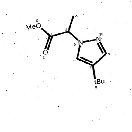 COC(=O)C(C)n1cc(C(C)(C)C)cn1